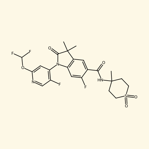 CC1(NC(=O)c2cc3c(cc2F)N(c2cc(OC(F)F)ncc2F)C(=O)C3(C)C)CCS(=O)(=O)CC1